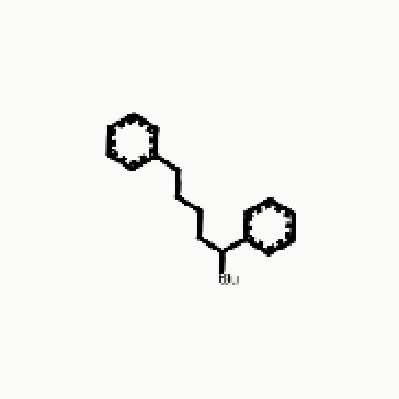 CC(C)(C)C(CCCCc1cc[c]cc1)c1ccccc1